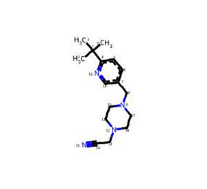 CC(C)(C)c1ccc(CN2CCN(CC#N)CC2)cn1